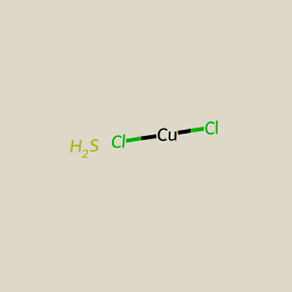 S.[Cl][Cu][Cl]